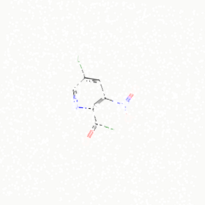 O=C(Cl)c1ncc(Cl)cc1[N+](=O)[O-]